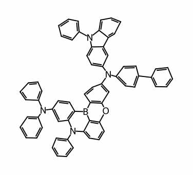 c1ccc(-c2ccc(N(c3ccc4c(c3)Oc3cccc5c3B4c3ccc(N(c4ccccc4)c4ccccc4)cc3N5c3ccccc3)c3ccc4c(c3)c3ccccc3n4-c3ccccc3)cc2)cc1